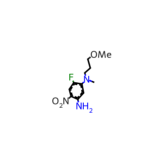 COCCCN(C)c1cc(N)c([N+](=O)[O-])cc1F